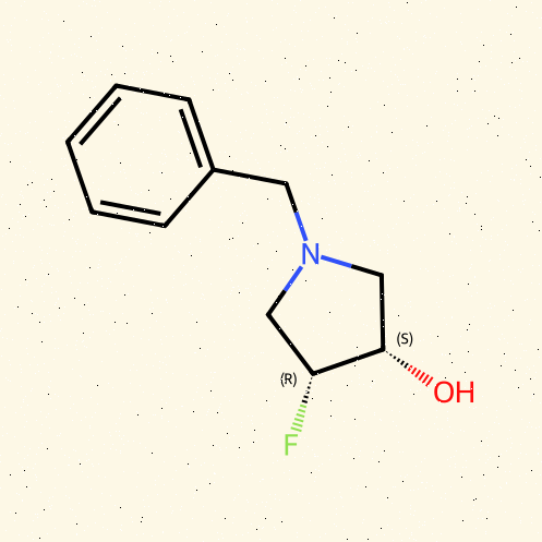 O[C@H]1CN(Cc2ccccc2)C[C@H]1F